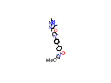 COC1CN(C(=O)[C@H]2CC[C@H](c3ccc(N4CC[C@@H](Oc5c(C)nc6nc(C)nn6c5C)C4)cc3)CC2)C1